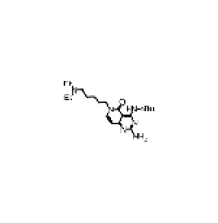 CCCCNc1nc(N)nc2ccn(CCCCCN(CC)CC)c(=O)c12